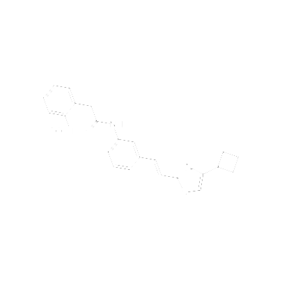 O=C(Cc1ccccc1C(=O)O)Nc1cccc(C=Cc2nc(C3CCC3)cs2)c1